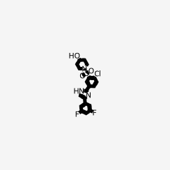 O=S(=O)(c1cc(-c2nc(-c3cc(F)cc(F)c3)c[nH]2)ccc1Cl)N1CCC(O)CC1